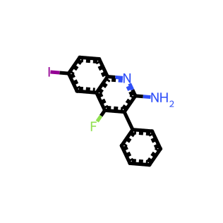 Nc1nc2ccc(I)cc2c(F)c1-c1ccccc1